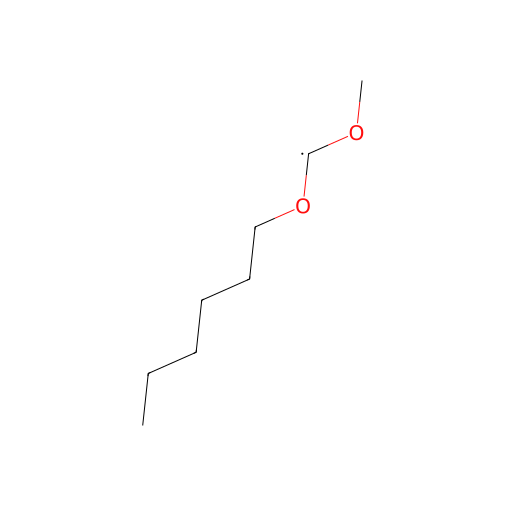 CCCCCCO[CH]OC